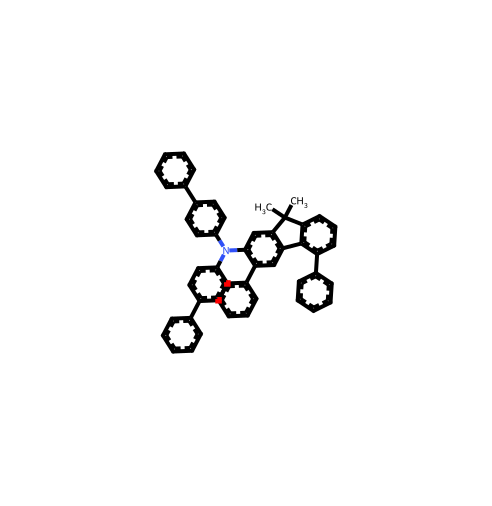 CC1(C)c2cc(N(c3ccc(-c4ccccc4)cc3)c3ccc(-c4ccccc4)cc3)c(-c3ccccc3)cc2-c2c(-c3ccccc3)cccc21